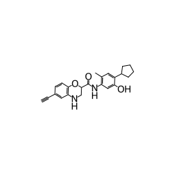 C#Cc1ccc2c(c1)NCC(C(=O)Nc1cc(O)c(C3CCCC3)cc1C)O2